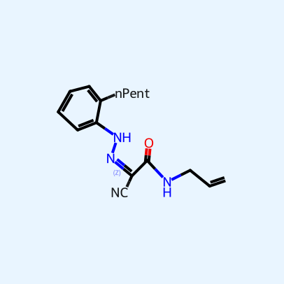 C=CCNC(=O)/C(C#N)=N\Nc1ccccc1CCCCC